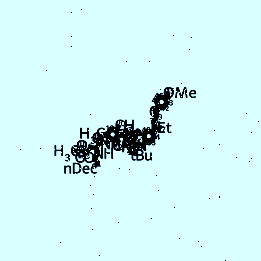 CCCCCCCCCCCC(=O)NC(CCS(C)(=O)=O)C(=O)Nc1c(C)cc(C)c(-c2nnc3n2N=C(C(C)(C)C)/C3=N/c2ccc(N(CC)CCOc3ccc(OC)cc3)cc2C)c1C